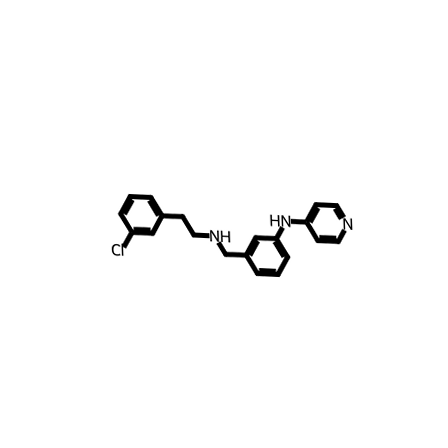 Clc1cccc(CCNCc2cccc(Nc3ccncc3)c2)c1